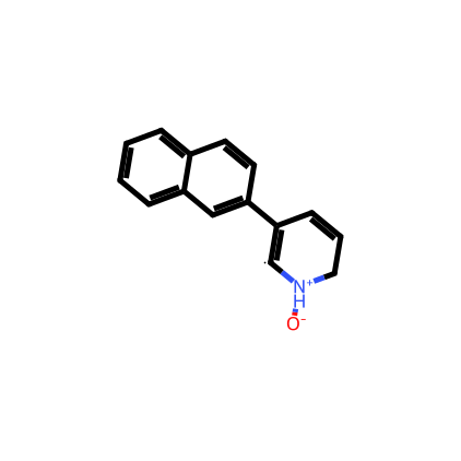 [O-][NH+]1[C]=C(c2ccc3ccccc3c2)C=CC1